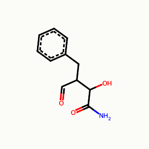 NC(=O)C(O)C(C=O)Cc1ccccc1